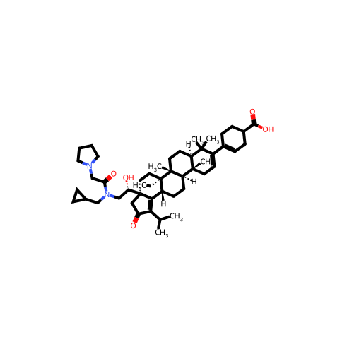 CC[C@@]12CC[C@@]3([C@@H](O)CN(CC4CC4)C(=O)CN4CCCC4)CC(=O)C(C(C)C)=C3[C@H]1CC[C@@H]1[C@@]3(C)CC=C(C4=CCC(C(=O)O)CC4)C(C)(C)[C@@H]3CC[C@]12C